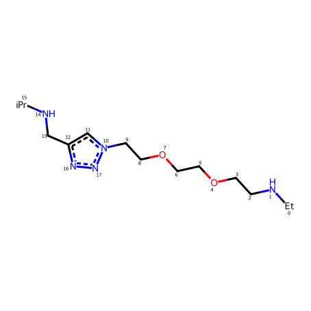 CCNCCOCCOCCn1cc(CNC(C)C)nn1